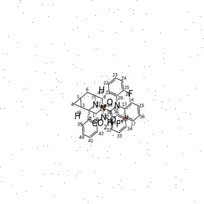 O=C(O)[C@@H]1C2[C@H]3CC3C[C@@H](CN1C(=O)N(c1ccccc1F)c1ccccc1F)N2C(=O)N(c1ccccc1)c1ccccc1